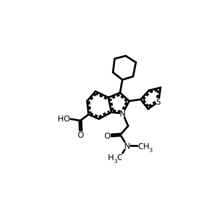 CN(C)C(=O)Cn1c(-c2ccsc2)c(C2CCCCC2)c2ccc(C(=O)O)cc21